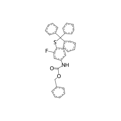 O=C(Nc1ccc(SC(c2ccccc2)(c2ccccc2)c2ccccc2)c(F)c1)OCc1ccccc1